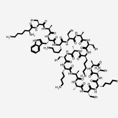 CC(C)C[C@H](NC(=O)[C@H](C)NC(=O)[C@H](CCCCN)NC(=O)[C@H](CC(C)C)NC(=O)[C@H](C)NC(=O)[C@H](CC(C)C)NC(=O)[C@H](CCCCN)NC(=O)[C@H](Cc1c[nH]c2ccccc12)NC(=O)[C@H](C)NC(=O)[C@H](CC(C)C)NC(=O)[C@@H](N)CCCCN)C(=O)N[C@@H](CCCCN)C(=O)N[C@@H](C)C(=O)N[C@@H](C)C(=O)N[C@@H](CC(C)C)C(=O)N[C@@H](CCCCN)C(=O)N[C@@H](CC(C)C)C(=O)N[C@@H](C)C(N)=O